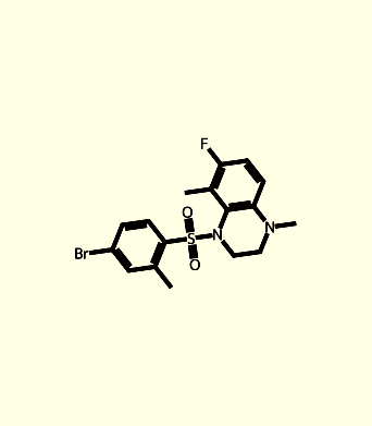 Cc1cc(Br)ccc1S(=O)(=O)N1CCN(C)c2ccc(F)c(C)c21